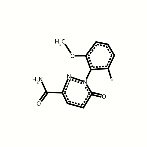 COc1cccc(F)c1-n1nc(C(N)=O)ccc1=O